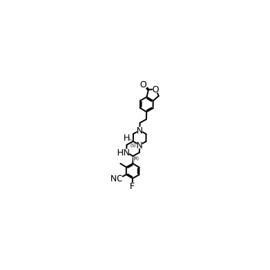 Cc1c([C@@H]2CN3CCN(CCc4ccc5c(c4)COC5=O)C[C@@H]3CN2)ccc(F)c1C#N